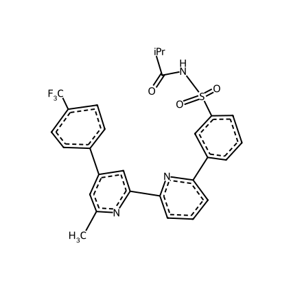 Cc1cc(-c2ccc(C(F)(F)F)cc2)cc(-c2cccc(-c3cccc(S(=O)(=O)NC(=O)C(C)C)c3)n2)n1